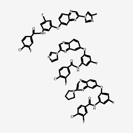 Cc1cn(-c2cnc3ccc(Oc4cc(F)cc(NC(=O)c5ccc(Cl)c(F)c5)c4)cc3n2)cn1.O=C(Nc1cc(F)cc(Oc2ccc3ncc(-n4ccnc4)nc3c2)c1)c1ccc(Cl)c(F)c1.O=C(Nc1cc(F)cc(Oc2ccc3ncc(N4CCCC4)nc3c2)c1)c1ccc(Cl)c(F)c1